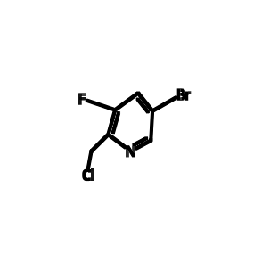 Fc1cc(Br)cnc1CCl